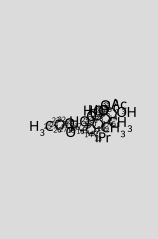 CC(=O)C1=C(O)C[C@@]2(C)C[C@@]3(C)Cc4c(C(C)C)cc(CCC(=O)Oc5ccc(C)cc5)c(O)c4C(=O)C3=C(O)[C@@]2(O)C1=O